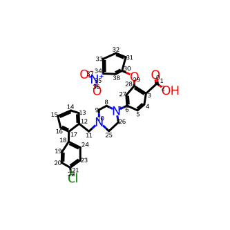 O=C(O)c1ccc(N2CCN(Cc3ccccc3-c3ccc(Cl)cc3)CC2)cc1Oc1cccc([N+](=O)[O-])c1